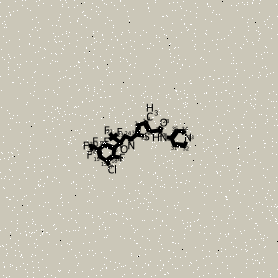 Cc1cc(C2=NOC(c3cc(C(F)(F)F)cc(Cl)c3F)(C(F)(F)F)C2)sc1C(=O)Nc1ccncc1